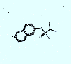 O=P(O)(Oc1ccc2ccccc2c1)C(F)F